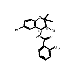 CC(=O)c1ccc2c(c1)[C@H](NC(=O)c1ccccc1C(F)(F)F)[C@H](O)C(C)(C)O2